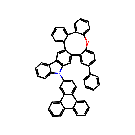 c1ccc(-c2ccc3oc4ccccc4c4ccccc4c4cc5c6ccccc6n(-c6ccc7c8ccccc8c8ccccc8c7c6)c5cc4c3c2)cc1